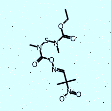 CCOC(=O)N(C)SN(C)C(=O)ON=CC(C)(C)[N+](=O)[O-]